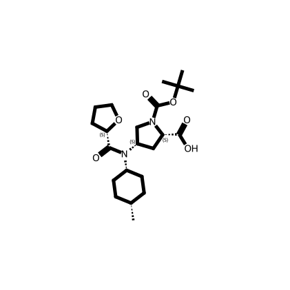 CC(C)(C)OC(=O)N1C[C@@H](N(C(=O)[C@@H]2CCCO2)[C@H]2CC[C@@H](C)CC2)C[C@H]1C(=O)O